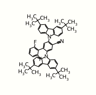 CC(C)(C)c1ccc2c(c1)c1cc(C(C)(C)C)ccc1n2-c1cc(-c2c(F)cccc2F)c(-n2c3ccc(C(C)(C)C)cc3c3cc(C(C)(C)C)ccc32)cc1C#N